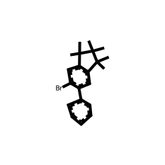 CC1(C)c2cc(Br)c(-c3ccccc3)cc2C(C)(C)C1(C)C